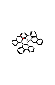 c1ccc(-c2ccccc2N(c2ccc3ccccc3c2)c2c(-c3cccc4ccccc34)c3ccccc3c3ccccc23)cc1